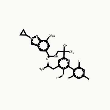 CCOc1c(CC(N)=O)cc([C@@](O)(CNC(=O)c2cc(OC)c3nn(C4CC4)cc3c2)C(F)(F)F)nc1-c1c(F)cc(F)cc1F